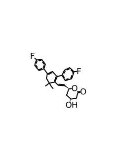 CC1(C)CC(c2ccc(F)cc2)=CC(c2ccc(F)cc2)=C1/C=C/[C@@H]1C[C@@H](O)CC(=O)O1